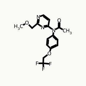 COCc1nccc(N(C(C)=O)c2ccc(OCC(F)(F)F)cc2)n1